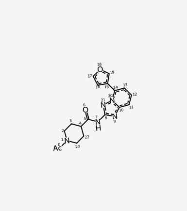 CC(=O)N1CCC(C(=O)Nc2nc3cccc(-c4ccoc4)n3n2)CC1